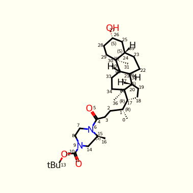 C[C@H](CCC(=O)N1CCN(C(=O)OC(C)(C)C)C[C@@H]1C)[C@H]1CC[C@H]2[C@@H]3CC[C@H]4C[C@@H](O)CC[C@]4(C)[C@H]3CC[C@]12C